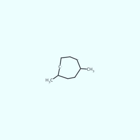 CC1[CH]CC[CH]C(C)CC1